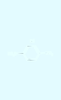 O=[N+]([O-])c1ccc(S(=O)(=O)O)cc1.[Nd]